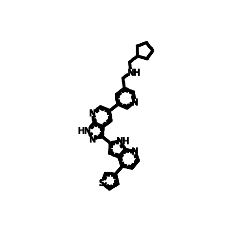 c1cc(-c2ccsc2)c2cc(-c3n[nH]c4ncc(-c5cncc(CNCC6CCCC6)c5)cc34)[nH]c2n1